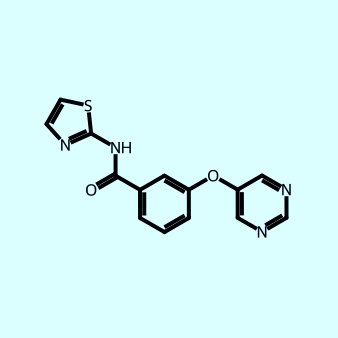 O=C(Nc1nccs1)c1cccc(Oc2cncnc2)c1